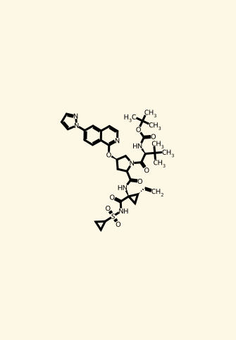 C=C[C@@H]1C[C@]1(NC(=O)C1C[C@@H](Oc2nccc3cc(-n4cccn4)ccc23)CN1C(=O)[C@@H](NC(=O)OC(C)(C)C)C(C)(C)C)C(=O)NS(=O)(=O)C1CC1